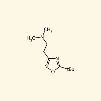 CN(C)CCc1noc(C(C)(C)C)n1